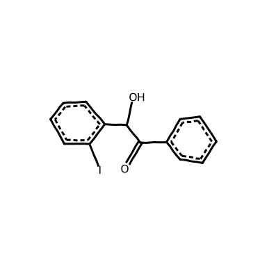 O=C(c1ccccc1)C(O)c1ccccc1I